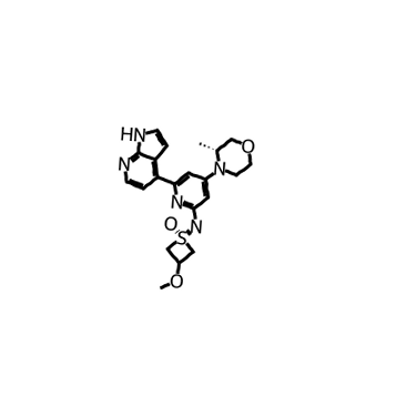 COC1CS(=O)(=Nc2cc(N3CCOC[C@H]3C)cc(-c3ccnc4[nH]ccc34)n2)C1